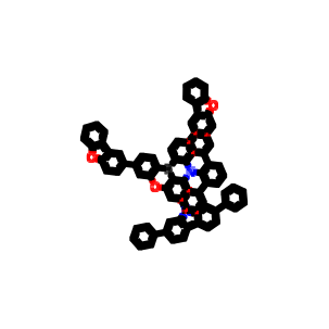 c1ccc(-c2ccc3c4ccc(-c5ccccc5)cc4n(-c4cc5c6c(c4)N(c4c(-c7ccccc7)cccc4-c4ccccc4)c4cc(-c7ccc8oc9ccccc9c8c7)ccc4B6c4ccc(-c6ccc7oc8ccccc8c7c6)cc4O5)c3c2)cc1